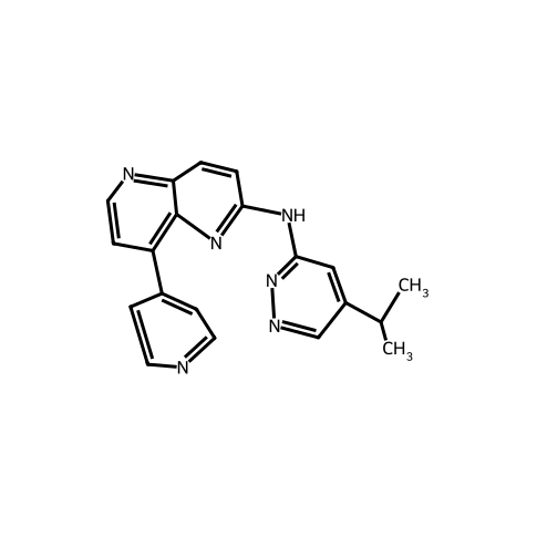 CC(C)c1cnnc(Nc2ccc3nccc(-c4ccncc4)c3n2)c1